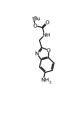 CC(C)(C)OC(=O)NCc1nc2cc(N)ccc2o1